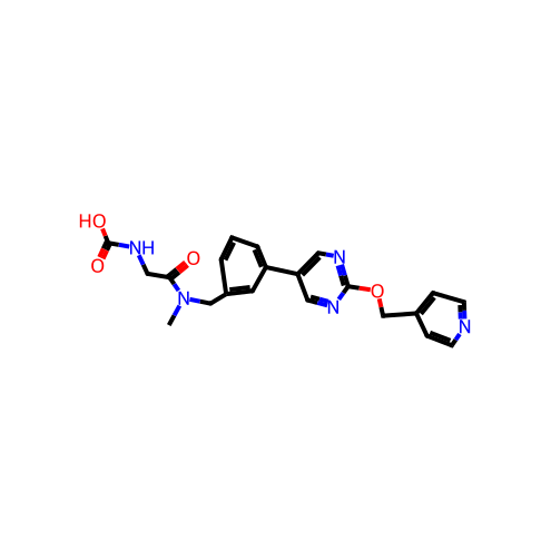 CN(Cc1cccc(-c2cnc(OCc3ccncc3)nc2)c1)C(=O)CNC(=O)O